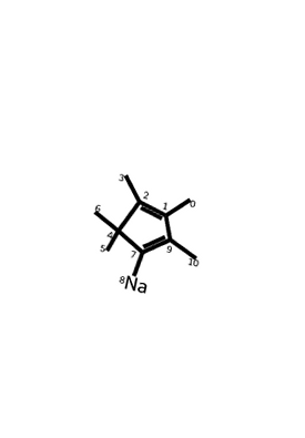 CC1=C(C)C(C)(C)[C]([Na])=C1C